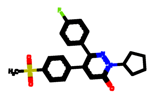 CS(=O)(=O)c1ccc(-c2cc(=O)n(C3CCCC3)nc2-c2ccc(F)cc2)cc1